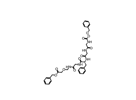 O=C(CNC(=O)OOCc1ccccc1)NCC(=O)N[C@@H](Cc1ccccc1)C(=O)NCC(=O)NCOCC(=O)OCc1ccccc1